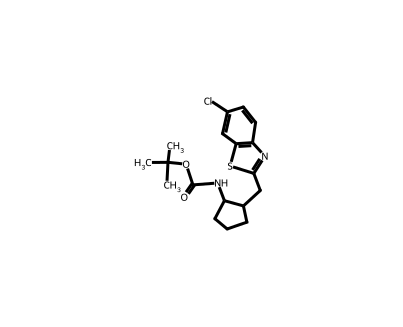 CC(C)(C)OC(=O)NC1CCCC1Cc1nc2ccc(Cl)cc2s1